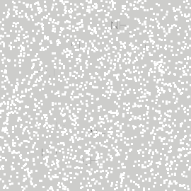 CC(C)(C)NCC(Cl)c1cc(Cl)c(N)c(Cl)c1.Cl